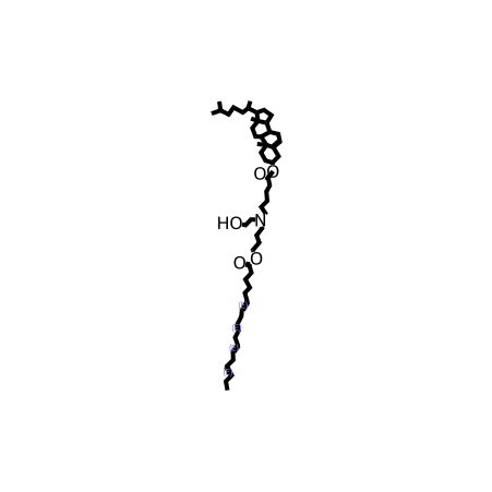 CC/C=C/C/C=C/C/C=C/C/C=C/CCCCC(=O)OCCCCN(CCO)CCCCCC(=O)OC1CCC2(C)C(=CCC3C2CCC2(C)C(C(C)CCCC(C)C)CCC32)C1